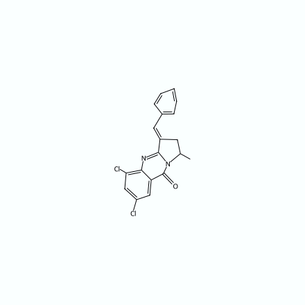 CC1C/C(=C\c2ccccc2)c2nc3c(Cl)cc(Cl)cc3c(=O)n21